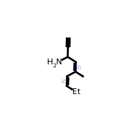 C#CC(N)/C=C(C)\C=C/CC